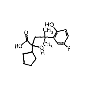 CC(C)(CC(O)(C(=O)O)C1CCCC1)c1cc(F)ccc1O